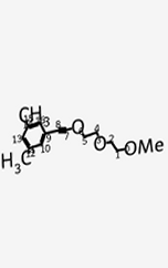 COCCOCCOC#Cc1cc(C)cc(C)c1